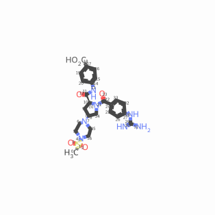 CS(=O)(=O)N1CCN([C@H]2C[C@@H](C(=O)Nc3ccc(C(=O)O)cc3)N(C(=O)c3ccc(NC(=N)N)cc3)C2)CC1